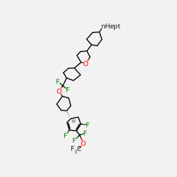 CCCCCCCC1CCC(C2CCC(C3CCC(C(F)(F)OC4CCC([C@H]5C=C(F)C(C(F)(F)OC(F)(F)F)=C(F)C5)CC4)CC3)OC2)CC1